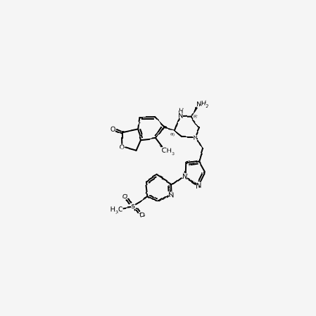 Cc1c([C@@H]2CN(Cc3cnn(-c4ccc(S(C)(=O)=O)cn4)c3)C[C@H](N)N2)ccc2c1COC2=O